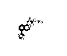 CN(C[C@H]1OCCc2c(-c3cncs3)cccc21)C(=O)OC(C)(C)C